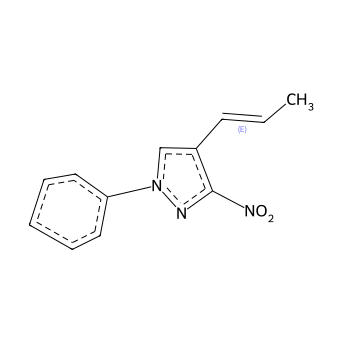 C/C=C/c1cn(-c2ccccc2)nc1[N+](=O)[O-]